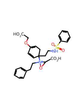 O=C(O)COC1=CCC(CCNS(=O)(=O)c2ccccc2)([N+]2(CCc3ccccc3)OC2C(=O)O)C=C1